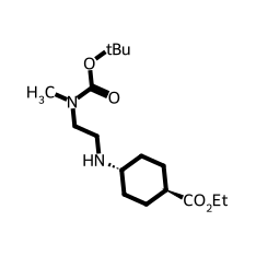 CCOC(=O)[C@H]1CC[C@H](NCCN(C)C(=O)OC(C)(C)C)CC1